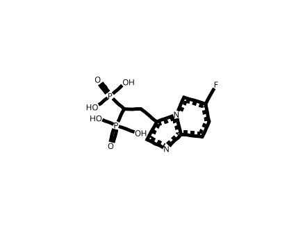 O=P(O)(O)C(Cc1cnc2ccc(F)cn12)P(=O)(O)O